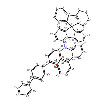 C1=CC2=C(CC1)c1ccccc1C21c2ccccc2-c2c(N(c3ccc(-c4ccc(-c5ccccc5)cc4)cc3)c3ccccc3-c3ccccc3)cccc21